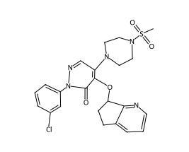 CS(=O)(=O)N1CCN(c2cnn(-c3cccc(Cl)c3)c(=O)c2OC2CCc3cccnc32)CC1